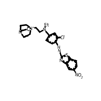 CCN(CC[N+]12CCN(CC1)CC2)c1ccc(N=Nc2nc3cc([N+](=O)[O-])ccc3s2)c(Cl)c1